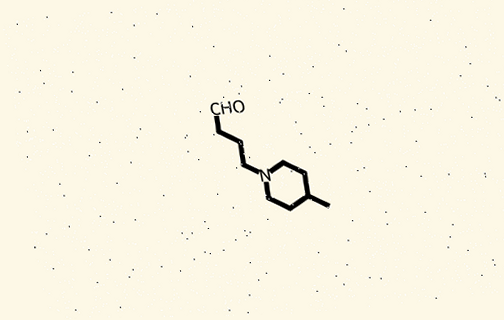 CC1CCN(CCCC=O)CC1